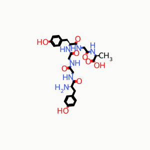 C[C@H](NC(=O)CNC(=O)[C@H](Cc1ccc(O)cc1)NC(=O)CNC(=O)CNC(=O)[C@@H](N)Cc1ccc(O)cc1)C(=O)O